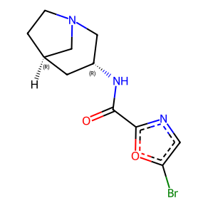 O=C(N[C@@H]1C[C@H]2CCN(C2)C1)c1ncc(Br)o1